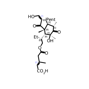 CCC[C@@H](C)[C@H]1[C@H](C)C(=O)[C@@](C)(O)[C@H]([C@@H](CC)COC(=O)C/C(C)=C/C(=O)O)[C@]1(C)C(=O)/C=C\O